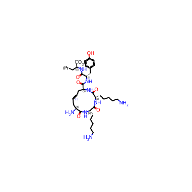 CC(C)C[C@H](NC(=O)[C@H](Cc1ccc(O)cc1)NC(=O)[C@@H]1C/C=C/C[C@H](N)C(=O)N[C@@H](CCCCCN)C(=O)N[C@@H](CCCCCN)C(=O)N1)C(=O)O